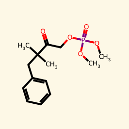 COP(=O)(OC)OCC(=O)C(C)(C)Cc1ccccc1